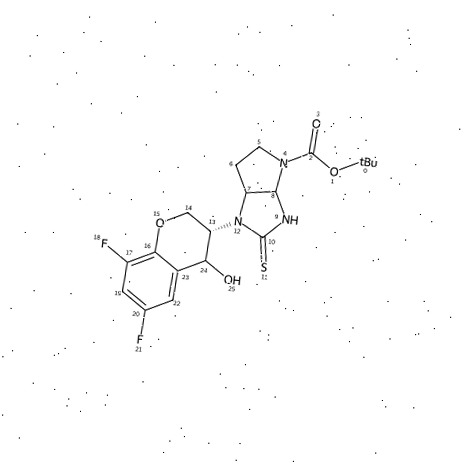 CC(C)(C)OC(=O)N1CCC2C1NC(=S)N2[C@H]1COc2c(F)cc(F)cc2C1O